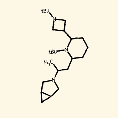 CC(CC1CCCC(C2CN(C(C)(C)C)C2)N1C(C)(C)C)N1CC2CC2C1